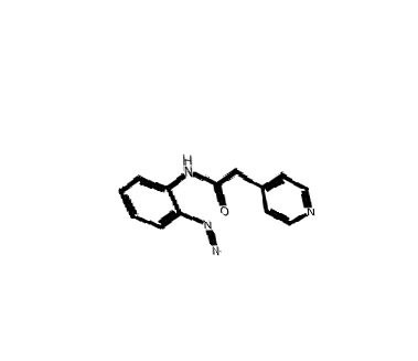 [N]=Nc1ccccc1NC(=O)Cc1ccncc1